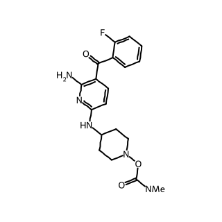 CNC(=O)ON1CCC(Nc2ccc(C(=O)c3ccccc3F)c(N)n2)CC1